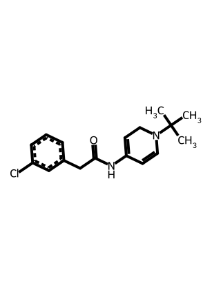 CC(C)(C)N1C=CC(NC(=O)Cc2cccc(Cl)c2)=CC1